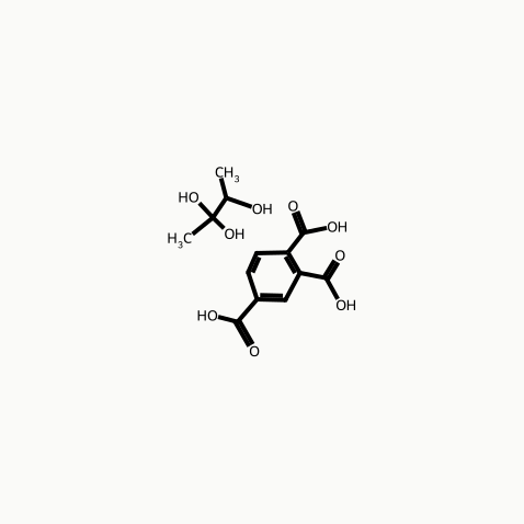 CC(O)C(C)(O)O.O=C(O)c1ccc(C(=O)O)c(C(=O)O)c1